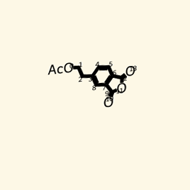 CC(=O)OCCc1ccc2c(c1)C(=O)OC2=O